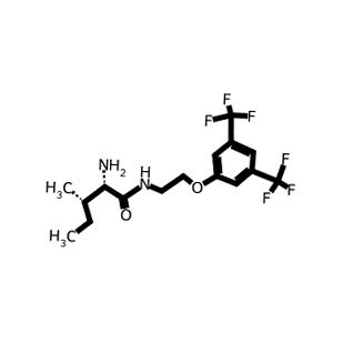 CC[C@H](C)[C@H](N)C(=O)NCCOc1cc(C(F)(F)F)cc(C(F)(F)F)c1